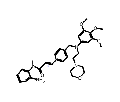 COc1cc(N(CCN2CCOCC2)Cc2ccc(/C=C/C(=O)Nc3ccccc3N)cc2)cc(OC)c1OC